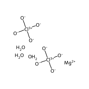 O.O.O.[Mg+2].[O-][Cl+3]([O-])([O-])[O-].[O-][Cl+3]([O-])([O-])[O-]